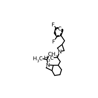 CC(CC1CCCC2CN(C(C)C)C12)N1CC(Cc2ccc(F)cc2F)C1